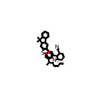 C=C/C=C\C1C(C)c2ccccc2N1[C@]1(C)CC=CC(C#N)=C1c1ccc2sc3cc4c(cc3c2c1)-c1ccccc1C4(C)C